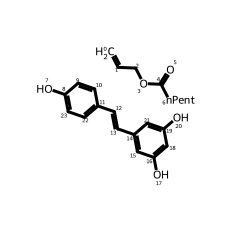 C=CCOC(=O)CCCCC.Oc1ccc(C=Cc2cc(O)cc(O)c2)cc1